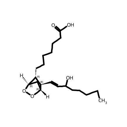 CCCCCC(O)C=C[C@@H]1[C@@H](CCCCCCC(=O)O)[C@H]2C[C@H]1OO2